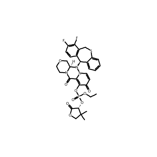 CCOP(=O)(Oc1c2n(ccc1=O)N([C@@H]1c3ccccc3SCc3c1ccc(F)c3F)[C@@H]1COCCN1C2=O)O[C@H]1C(=O)OCC1(C)C